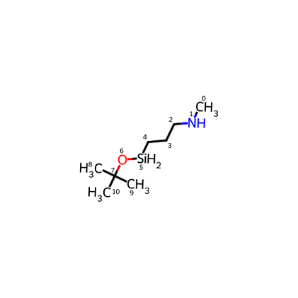 CNCCC[SiH2]OC(C)(C)C